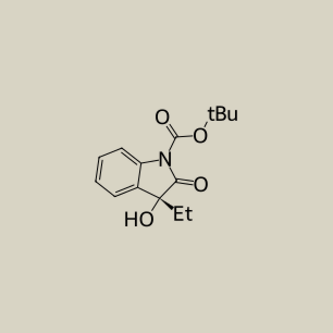 CC[C@]1(O)C(=O)N(C(=O)OC(C)(C)C)c2ccccc21